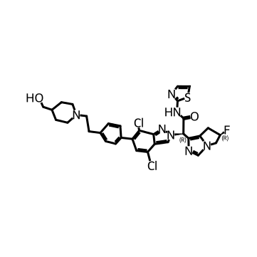 O=C(Nc1nccs1)[C@@H](c1ncn2c1C[C@@H](F)C2)n1cc2c(Cl)cc(-c3ccc(CCN4CCC(CO)CC4)cc3)c(Cl)c2n1